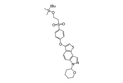 CC(C)(C)[Si](C)(C)OCCS(=O)(=O)c1ccc(Oc2csc3c2ccc2c3cnn2C2CCCCO2)cc1